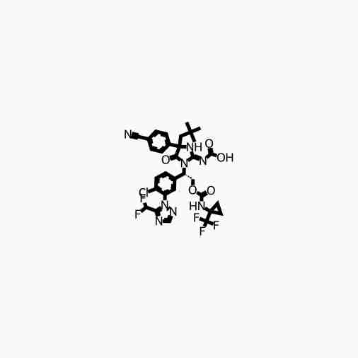 CC(C)(C)CC1(c2ccc(C#N)cc2)NC(=NC(=O)O)N([C@H](COC(=O)NC2(C(F)(F)F)CC2)c2ccc(Cl)c(-n3ncnc3C(F)F)c2)C1=O